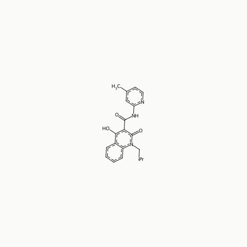 Cc1ccnc(NC(=O)c2c(O)c3ccccc3n(CC(C)C)c2=O)c1